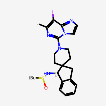 [CH2]c1nc(N2CCC3(CC2)Cc2ccccc2[C@H]3N[S+]([O-])C(C)(C)C)n2ccnc2c1I